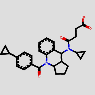 O=C(O)CCC(=O)N(C1CC1)C1c2ccccc2N(C(=O)c2ccc(C3CC3)cc2)C2CCCC21